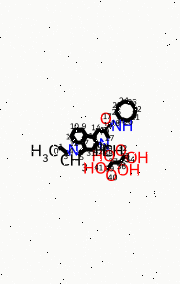 CCC(C)n1cc2c3c(cccc31)C1C[C@@H](C(=O)NC3CCCCCCC3)CN(C)[C@@H]1C2.O=C(O)C(O)C(O)C(=O)O